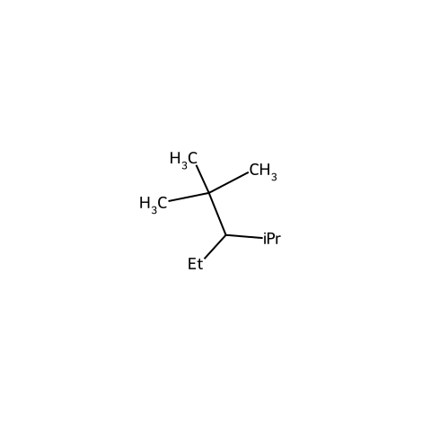 CCC(C(C)C)C(C)(C)C